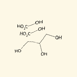 O=C(O)O.O=C(O)O.OCC(O)CO